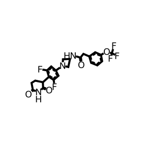 O=C1CCC(c2c(F)cc(N3CC(NC(=O)Cc4cccc(OC(F)(F)F)c4)C3)cc2F)C(=O)N1